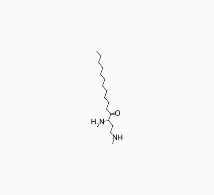 CCCCCCCCCCCC(=O)C(N)CCNC